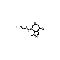 Cn1ncc2c1N(CCCN)CCCC2=O